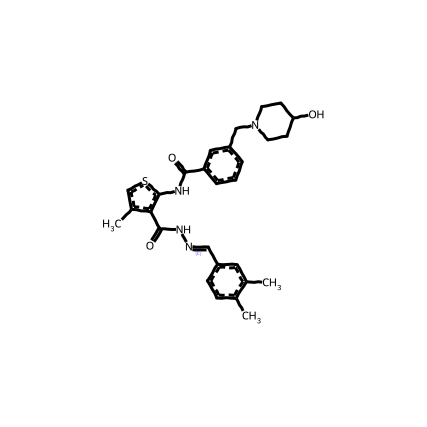 Cc1ccc(/C=N/NC(=O)c2c(C)csc2NC(=O)c2cccc(CN3CCC(O)CC3)c2)cc1C